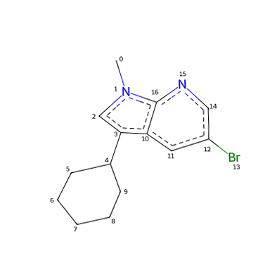 Cn1cc(C2CCCCC2)c2cc(Br)cnc21